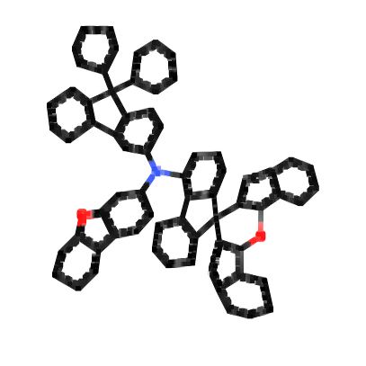 c1ccc(C2(c3ccccc3)c3ccccc3-c3cc(N(c4ccc5c(c4)oc4ccccc45)c4cccc5c4-c4ccccc4C54c5ccc6ccccc6c5Oc5c4ccc4ccccc54)ccc32)cc1